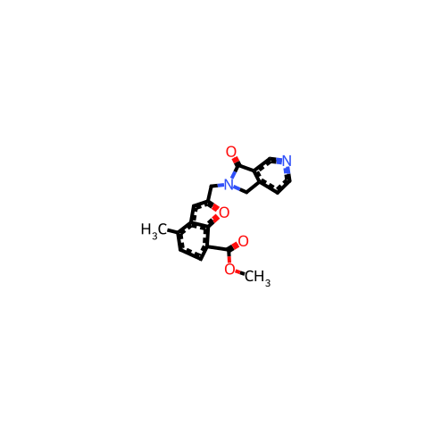 COC(=O)c1ccc(C)c2cc(CN3Cc4ccncc4C3=O)oc12